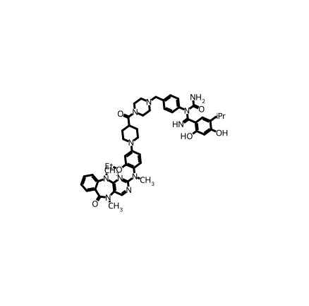 CCOc1cc(N2CCC(C(=O)N3CCN(Cc4ccc(N(C(=N)c5cc(C(C)C)c(O)cc5O)C(N)=O)cc4)CC3)CC2)ccc1N(C)c1ncc2c(n1)N(C)c1ccccc1C(=O)N2C